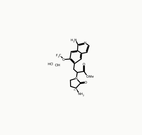 COC(=O)C(Cc1cc2ccnc(N)c2cc1OC(F)(F)F)N1CC[C@H](N)C1=O.Cl.Cl